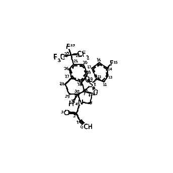 C#CC(=O)N1CC[C@@]2(S(=O)(=O)c3ccc(F)cc3)c3ccc(C(F)(C(F)(F)F)C(F)(F)F)cc3CC[C@@H]12